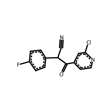 N#CC(C(=O)c1ccnc(Cl)c1)c1ccc(F)cc1